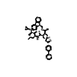 CCC[C@H](NC(=O)[C@@H]1C[C@]2(CC(c3ccc(-c4ccccc4)cc3)=NO2)CN1C(=O)OCC1c2ccccc2-c2ccccc21)C(=O)C(=O)NC1CC1